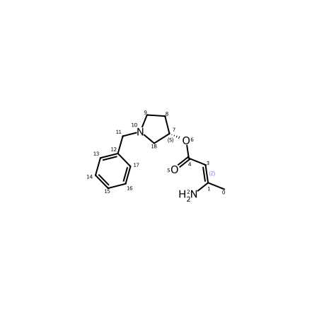 C/C(N)=C/C(=O)O[C@H]1CCN(Cc2ccccc2)C1